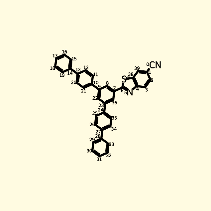 N#Cc1ccc2nc(-c3cc(-c4ccc(-c5ccccc5)cc4)cc(-c4ccc(-c5ccccc5)cc4)c3)sc2c1